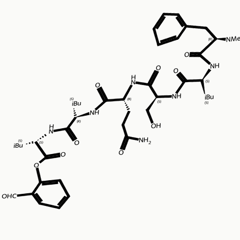 CC[C@H](C)[C@H](NC(=O)[C@@H](Cc1ccccc1)NC)C(=O)N[C@@H](CO)C(=O)N[C@H](CCC(N)=O)C(=O)N[C@@H](C(=O)N[C@H](C(=O)Oc1ccccc1C=O)[C@@H](C)CC)[C@@H](C)CC